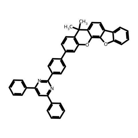 CC1(C)c2ccc(-c3ccc(-c4nc(-c5ccccc5)cc(-c5ccccc5)n4)cc3)cc2Oc2c1ccc1c2oc2ccccc21